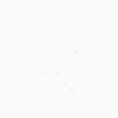 CC(Nc1ccn2ncc(-c3cnn(C4CCCCC4O)c3)c2n1)c1cc(F)ccc1OCCF